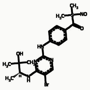 C[C@@H](Nc1nc(Nc2ccc(C(=O)S(C)(C)N=O)cc2)ncc1Br)C(C)(C)O